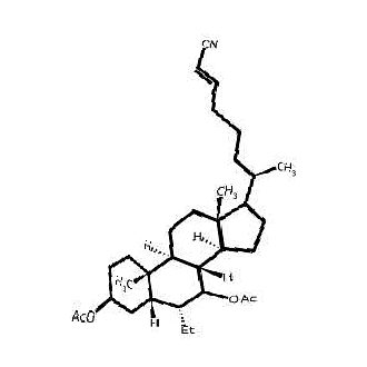 CC[C@H]1C(OC(C)=O)[C@@H]2[C@H](CC[C@]3(C)C([C@H](C)CCC/C=C/C#N)CC[C@@H]23)[C@@]2(C)CCC(OC(C)=O)C[C@@H]12